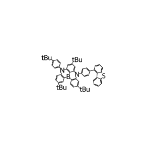 CC(C)(C)c1ccc(N2c3ccc(C(C)(C)C)cc3B3c4ccc(C(C)(C)C)cc4N(c4ccc(-c5cccc6sc7ccccc7c56)cc4)c4cc(C(C)(C)C)cc2c43)cc1